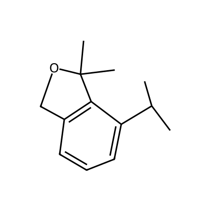 CC(C)c1cccc2c1C(C)(C)OC2